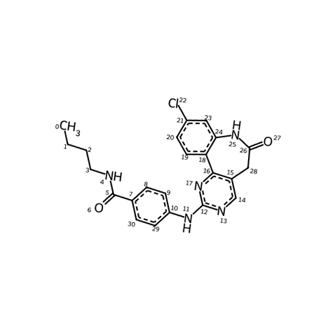 CCCCNC(=O)c1ccc(Nc2ncc3c(n2)-c2ccc(Cl)cc2NC(=O)C3)cc1